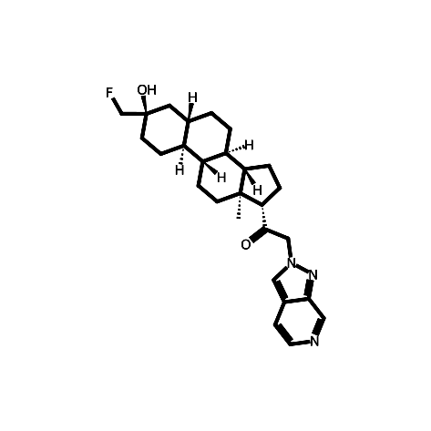 C[C@]12CC[C@H]3[C@@H](CC[C@H]4C[C@@](O)(CF)CC[C@@H]43)[C@@H]1CC[C@@H]2C(=O)Cn1cc2ccncc2n1